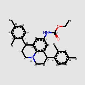 CCOC(=O)Nc1cc2c3c(c1)C(c1ccc(C)cc1C)CCN3CCC2c1ccc(C)cc1C